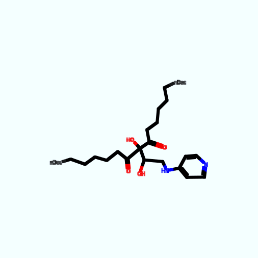 CCCCCCCCCCCCCCCC(=O)C(O)(C(=O)CCCCCCCCCCCCCCC)C(O)CNc1ccncc1